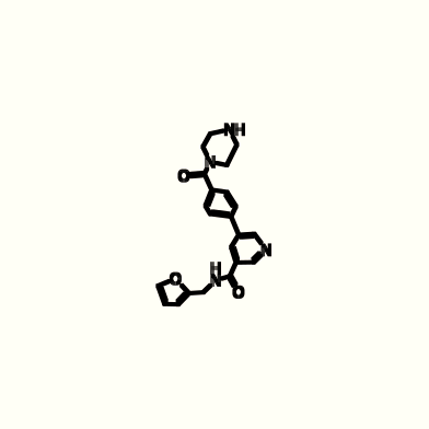 O=C(NCc1ccco1)c1cncc(-c2ccc(C(=O)N3CCNCC3)cc2)c1